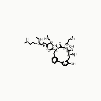 CNCCC[C@@H](CNC(=O)[C@H](CNC)NC(=O)[C@@H]1Cc2cccc(c2)-c2ccc(O)c(c2)C[C@H](NC)C(=O)N[C@@H](C[C@@H](O)CNC)C(=O)N1C)NC